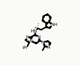 Cc1nccn1-c1cn2c(C(C)C)cnc2c(N[C@H](C)Cc2c[nH]c3ccccc23)n1